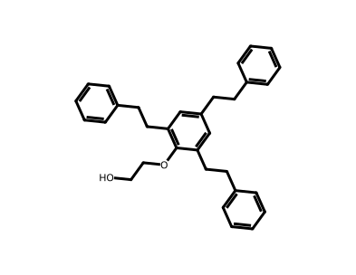 OCCOc1c(CCc2ccccc2)cc(CCc2ccccc2)cc1CCc1ccccc1